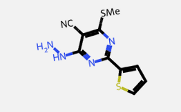 CSc1nc(-c2cccs2)nc(NN)c1C#N